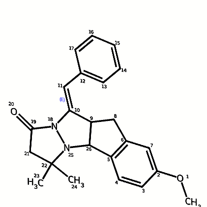 COc1ccc2c(c1)CC1/C(=C\c3ccccc3)N3C(=O)CC(C)(C)N3C21